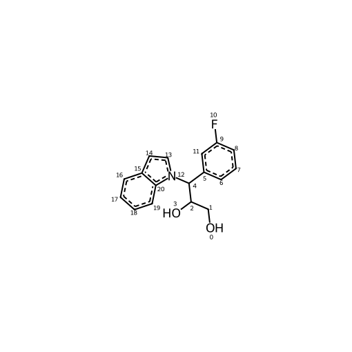 OCC(O)C(c1cccc(F)c1)n1ccc2ccccc21